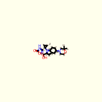 C[C@H]1C[C@]1(c1noc(=O)[nH]1)n1c(C(=O)O)cc2cc(N3CCOC(C)(C)C3)ccc21